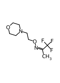 C/C(=N/OCCN1CCOCC1)C(F)(F)F